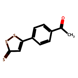 CC(=O)c1ccc(-c2cc(=S)ss2)cc1